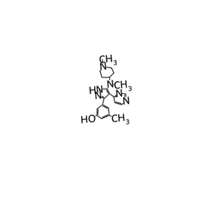 Cc1cc(O)cc(-c2n[nH]c(N(C)C3CCN(C)CC3)c2-c2ccncn2)c1